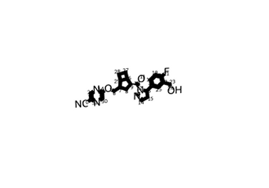 N#Cc1cnc(OCC2C[C@H](C(=O)N3N=CCC3c3ccc(F)c(CO)c3)C3CCC23)cn1